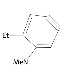 CCc1cc#ccc1NC